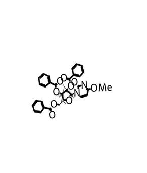 COc1ccn([C@@H]2O[C@H](COC(=O)c3ccccc3)[C@@H](OC(=O)c3ccccc3)[C@@]2(C)OC(=O)c2ccccc2)c(=O)n1